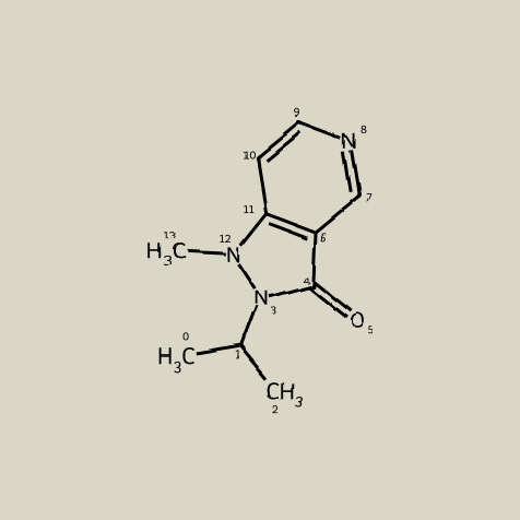 CC(C)n1c(=O)c2cnccc2n1C